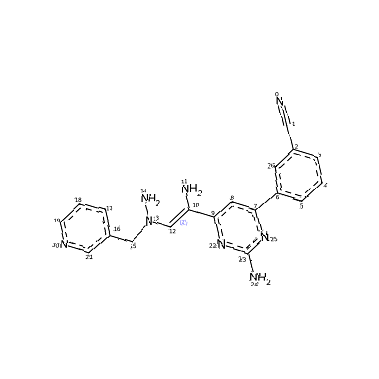 N#Cc1cccc(-c2cc(/C(N)=C/N(N)Cc3cccnc3)nc(N)n2)c1